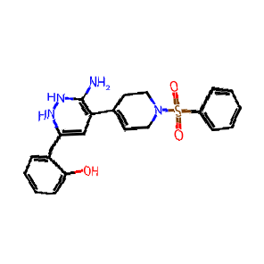 NC1=C(C2=CCN(S(=O)(=O)c3ccccc3)CC2)C=C(c2ccccc2O)NN1